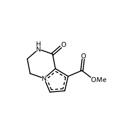 COC(=O)c1ccn2c1C(=O)NCC2